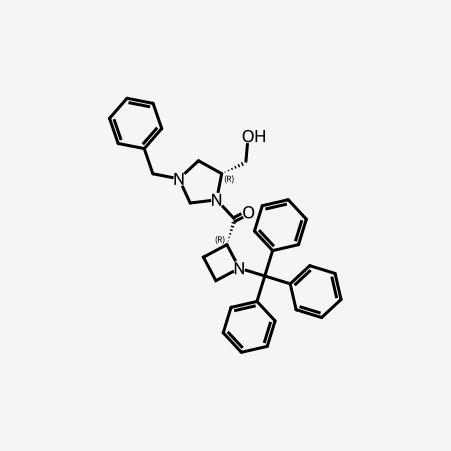 O=C([C@H]1CCN1C(c1ccccc1)(c1ccccc1)c1ccccc1)N1CN(Cc2ccccc2)C[C@@H]1CO